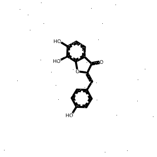 O=C1C(=Cc2ccc(O)cc2)Oc2c1ccc(O)c2O